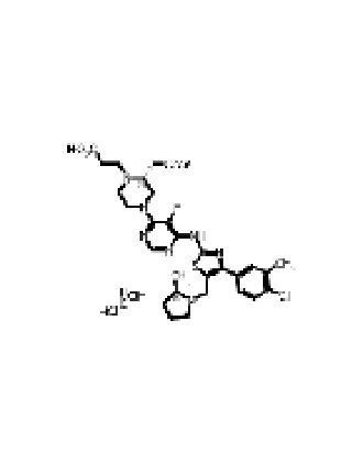 COC[C@@H]1CN(c2ncnc(Nc3nc(-c4ccc(Cl)c(C(F)(F)F)c4)c(CN4CCC[C@H]4C)s3)c2F)CCN1CCC(=O)O.Cl.Cl.Cl